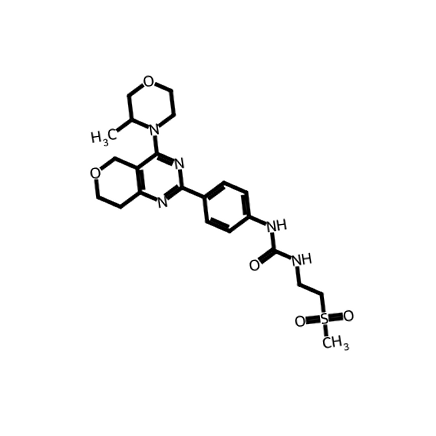 CC1COCCN1c1nc(-c2ccc(NC(=O)NCCS(C)(=O)=O)cc2)nc2c1COCC2